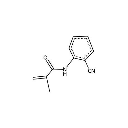 C=C(C)C(=O)Nc1ccccc1C#N